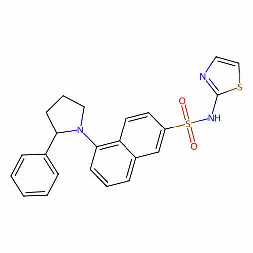 O=S(=O)(Nc1nccs1)c1ccc2c(N3CCCC3c3ccccc3)cccc2c1